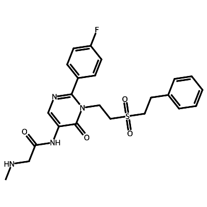 CNCC(=O)Nc1cnc(-c2ccc(F)cc2)n(CCS(=O)(=O)CCc2ccccc2)c1=O